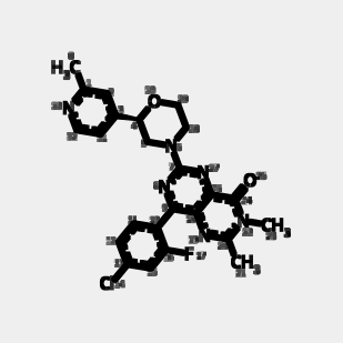 Cc1cc([C@@H]2CN(c3nc(-c4ccc(Cl)cc4F)c4nc(C)n(C)c(=O)c4n3)CCO2)ccn1